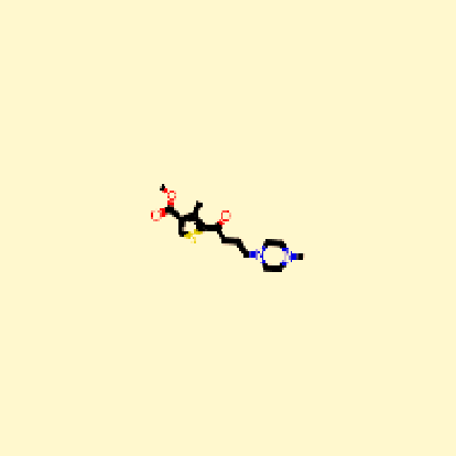 COC(=O)c1csc(C(=O)CCCN2CCN(C)CC2)c1C